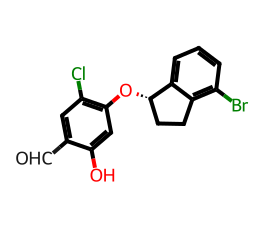 O=Cc1cc(Cl)c(O[C@H]2CCc3c(Br)cccc32)cc1O